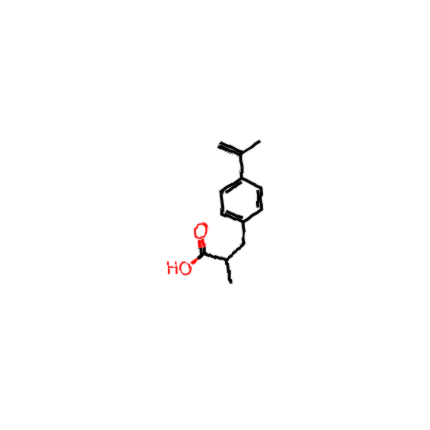 C=C(C)c1ccc(CC(C)C(=O)O)cc1